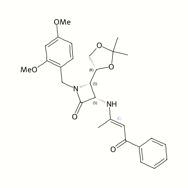 COc1ccc(CN2C(=O)[C@@H](N/C(C)=C/C(=O)c3ccccc3)[C@H]2[C@@H]2COC(C)(C)O2)c(OC)c1